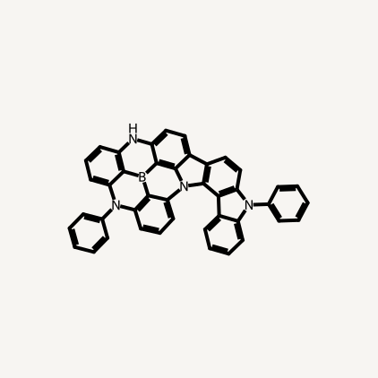 c1ccc(N2c3cccc4c3B3c5c2cccc5-n2c5c3c(ccc5c3ccc5c(c6ccccc6n5-c5ccccc5)c32)N4)cc1